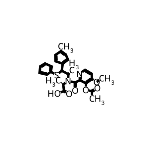 COc1ccnc(C(=O)N(C(C)C(Sc2ccccc2)c2ccc(C)cc2)[C@@H](C)C(=O)O)c1OC(C)=O